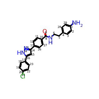 Nc1ccc(CCNC(=O)c2ccc(-c3cc(-c4ccc(Cl)cc4)[nH]n3)cc2)cc1